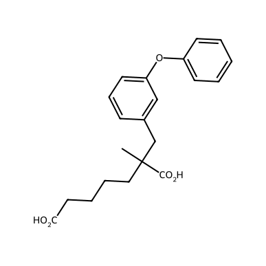 CC(CCCCC(=O)O)(Cc1cccc(Oc2ccccc2)c1)C(=O)O